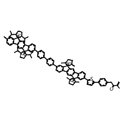 C=C(C)C(=O)Cc1ccc(-c2ccc(-c3ccc4c(c3)C3(c5cc6c(cc5-4)C4(c5cc(-c7ccc(-c8ccc(-c9ccc%10c(c9)C9(c%11cc%12c(cc%11-%10)C%10(c%11cc(C)ccc%11-%12)C%11(C(C)C)CCC%10(C(C)C)CC%11)C%10(C(C)C)CCC9(C(C)C)CC%10)cc8)cc7)ccc5-6)C5(C)CCC4(C)CC5)C4(C)CCC3(C)CC4)s2)cc1